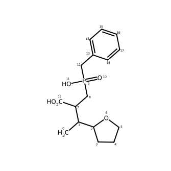 CC(C1CCCO1)C(CP(=O)(O)Cc1ccccc1)C(=O)O